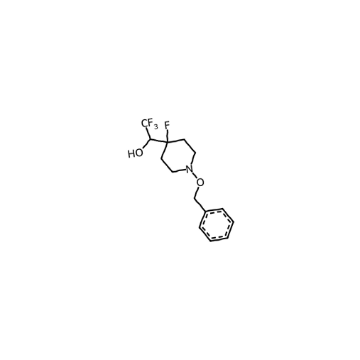 OC(C(F)(F)F)C1(F)CCN(OCc2ccccc2)CC1